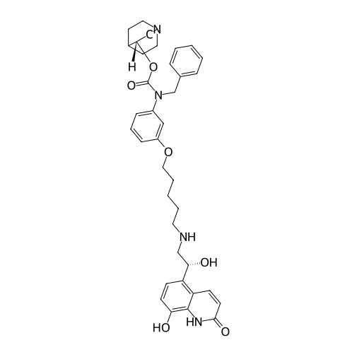 O=C(O[C@H]1CN2CCC1CC2)N(Cc1ccccc1)c1cccc(OCCCCCNC[C@H](O)c2ccc(O)c3[nH]c(=O)ccc23)c1